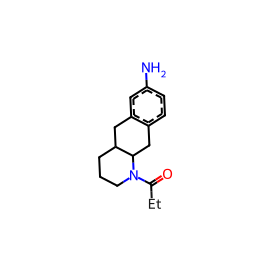 CCC(=O)N1CCCC2Cc3cc(N)ccc3CC21